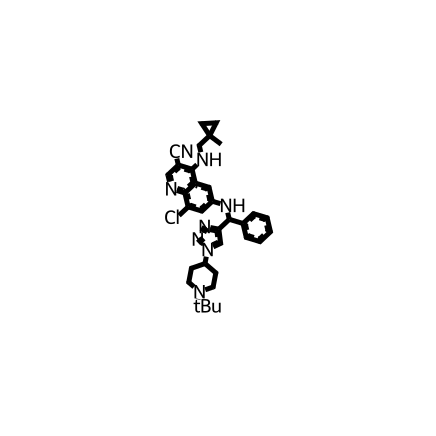 CC1(CNc2c(C#N)cnc3c(Cl)cc(NC(c4ccccc4)c4cn(C5CCN(C(C)(C)C)CC5)nn4)cc23)CC1